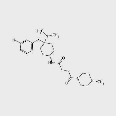 CC1CCN(C(=O)CCC(=O)NC2CCC(Cc3cccc(Cl)c3)(N(C)C)CC2)CC1